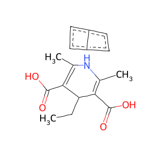 CCC1C(C(=O)O)=C(C)NC(C)=C1C(=O)O.c1cc2ccc1-2